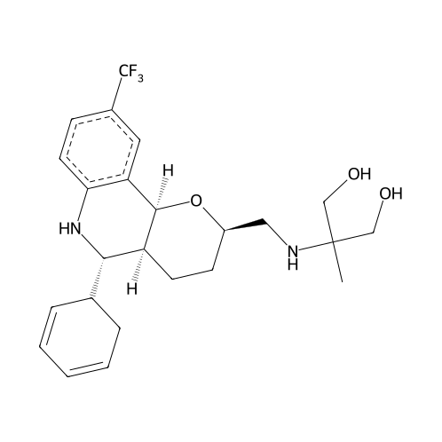 CC(CO)(CO)NC[C@H]1CC[C@@H]2[C@H](O1)c1cc(C(F)(F)F)ccc1N[C@H]2C1C=CC=CC1